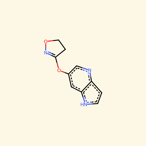 c1cc2ncc(OC3=NOCC3)cc2[nH]1